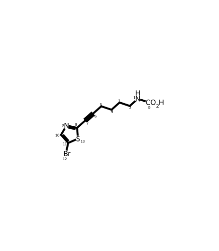 O=C(O)NCCCCC#Cc1ncc(Br)s1